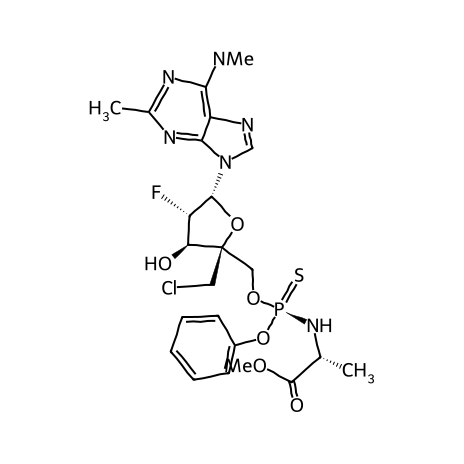 CNc1nc(C)nc2c1ncn2[C@@H]1O[C@](CCl)(CO[P@@](=S)(N[C@H](C)C(=O)OC)Oc2ccccc2)[C@@H](O)[C@@H]1F